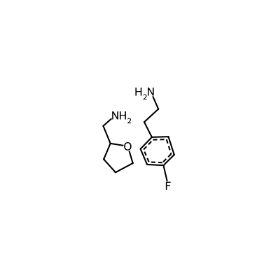 NCC1CCCO1.NCCc1ccc(F)cc1